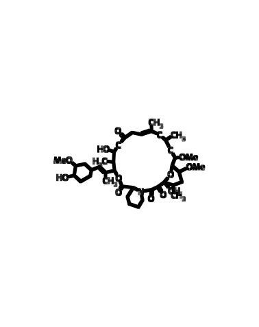 COC1CC(C=C(C)C2OC(=O)C3CCCCN3C(=O)C(=O)C3(O)OC(C(OC)CC(C)C/C(C)=C/CC(=O)CC(O)C2C)C(OC)CC3C)CCC1O